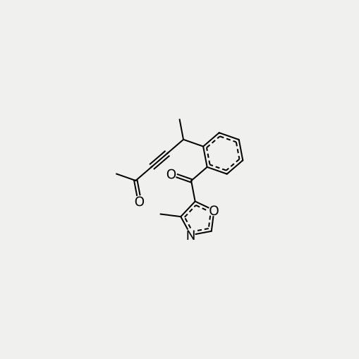 CC(=O)C#CC(C)c1ccccc1C(=O)c1ocnc1C